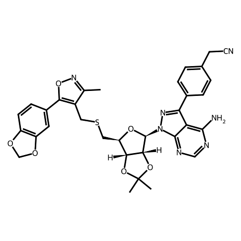 Cc1noc(-c2ccc3c(c2)OCO3)c1CSC[C@H]1O[C@@H](n2nc(-c3ccc(CC#N)cc3)c3c(N)ncnc32)[C@@H]2OC(C)(C)O[C@@H]21